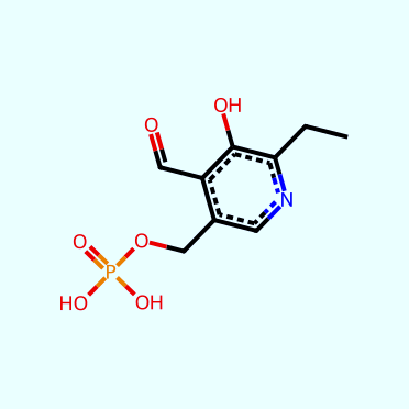 CCc1ncc(COP(=O)(O)O)c(C=O)c1O